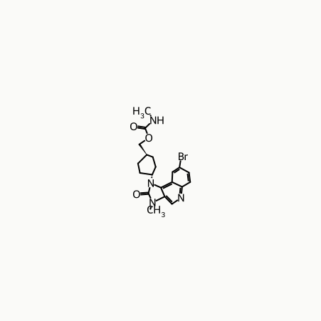 CNC(=O)OC[C@H]1CC[C@H](n2c(=O)n(C)c3cnc4ccc(Br)cc4c32)CC1